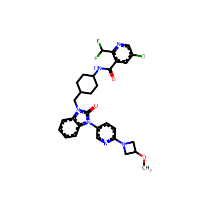 COC1CN(c2ccc(-n3c(=O)n(CC4CCC(NC(=O)c5cc(Cl)cnc5C(F)F)CC4)c4ccccc43)cn2)C1